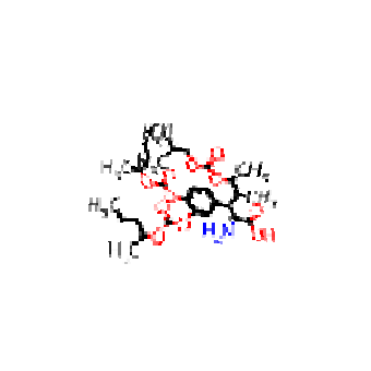 CCCC(C)OC(=O)Oc1ccc(C(C(C)C(C)OC(=O)OCC(C)C)[C@H](N)C(=O)O)cc1OC(=O)OC(C)CCC